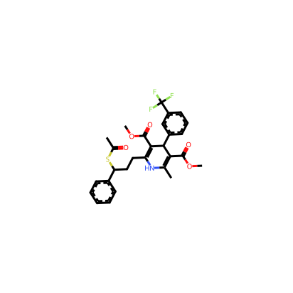 COC(=O)C1=C(C)NC(CCC(SC(C)=O)c2ccccc2)=C(C(=O)OC)C1c1cccc(C(F)(F)F)c1